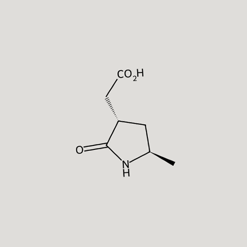 C[C@@H]1C[C@@H](CC(=O)O)C(=O)N1